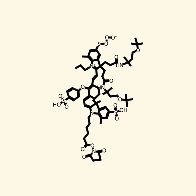 CCC[N+]1=C(/C=C/C2=C(Oc3ccc(S(=O)(=O)O)cc3)C(=C/C=C3/N(CCCCCC(=O)ON4C(=O)CCC4=O)c4c(C)cc(S(=O)(=O)O)cc4C3(C)C)/CCC2)C(CCC(=O)NC(C)(C)CCOC(C)(C)C)(CCC(=O)NC(C)(C)CCOC(C)(C)C)c2cc(SOO[O-])cc(C)c21